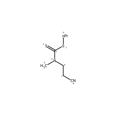 CCCSC(=S)N(C)CCC#N